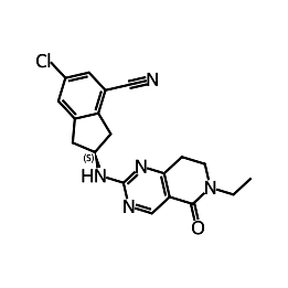 CCN1CCc2nc(N[C@H]3Cc4cc(Cl)cc(C#N)c4C3)ncc2C1=O